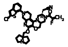 C=C(F)C(=O)N1CC2COc3c(OCC45CCCN4CCC5)nc4c(c3N2C[C@@H]1CC#N)CCN(c1cccc2cc(Cl)sc12)C4